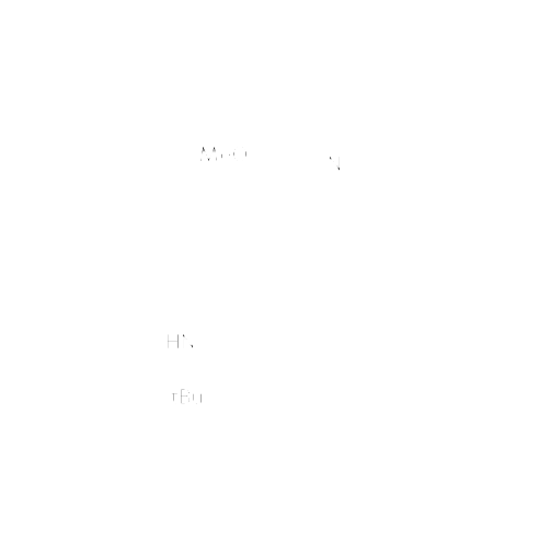 COc1ncccc1CCNC(C)(C)C